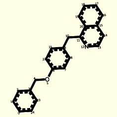 c1ccc(COc2ccc(Cc3nccc4ccccc34)cc2)cc1